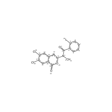 CN(C(=O)c1ccccc1I)c1nc2cc(Cl)c(Cl)cc2c(=O)o1